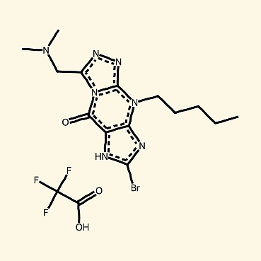 CCCCCn1c2nc(Br)[nH]c2c(=O)n2c(CN(C)C)nnc12.O=C(O)C(F)(F)F